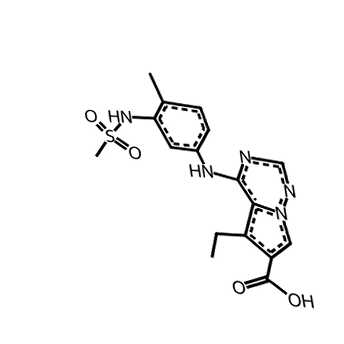 CCc1c(C(=O)O)cn2ncnc(Nc3ccc(C)c(NS(C)(=O)=O)c3)c12